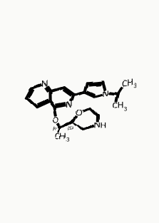 CC(C)n1ccc(-c2cc3ncccc3c(O[C@H](C)[C@@H]3CNCCO3)n2)c1